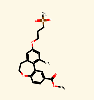 COC(=O)c1ccc2c(c1)-c1c(C)cc(OCCCS(C)(=O)=O)cc1CCO2